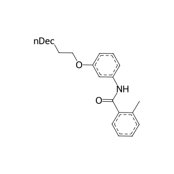 CCCCCCCCCCCCOc1cccc(NC(=O)c2ccccc2C)c1